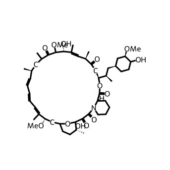 COC1C(=O)C(C)C[C@H](C)/C=C/C=C/C=C(\C)[C@@H](OC)CC2CC[C@@H](C)[C@@](O)(O2)C(=O)C(=O)N2CCCC[C@H]2C(=O)O[C@H]([C@H](C)C[C@@H]2CCC(O)[C@H](OC)C2)CC(=O)[C@H](C)/C=C(\C)[C@H]1O